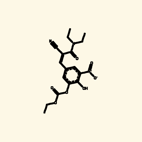 CCOC(=O)Oc1cc(C=C(C#N)C(=O)N(CC)CC)cc([N+](=O)[O-])c1O